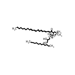 CCCCCCCCCC=CC=CC=CC=CC=CC=CC(=O)C(C[N+](C)(C)C)OP(=O)(O)OCC(O)CO.CCCCCCCCCCCCC